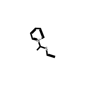 C=CS[C](C)[n+]1ccccc1